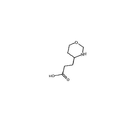 O=C(O)CCC1CCOCN1